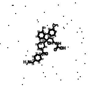 COc1cccc(-c2c(F)cccc2[C@](O)(CCCNC(=O)O)[C@@H]2CCCN(C(=O)c3ccc(CN)cc3)C2)c1